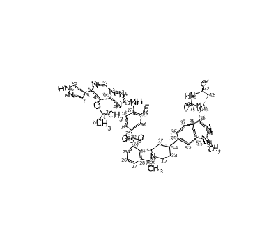 CC(C)Oc1c(-c2cn[nH]c2)ncn2nc(Nc3ccc(S(=O)(=O)c4cccc([C@@H](C)N5CCC(c6ccc7c(N8CCC(=O)NC8=O)nn(C)c7c6)CC5)c4)cc3F)nc12